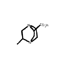 CC1CN2CCN1CC2C(=O)O